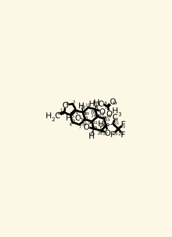 C=C1OCC2=C1CC[C@@]1(C)[C@H]2C[C@@H]2O[C@@]23[C@H](OC(C)=O)[C@@]2(C(C)C(F)(F)F)O[C@H]2[C@@H]2O[C@@]231